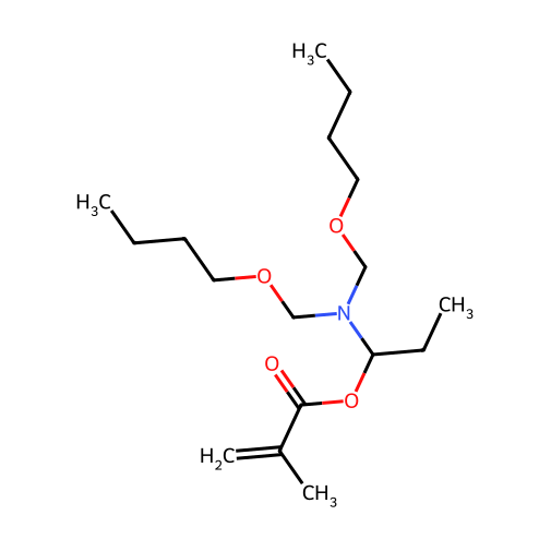 C=C(C)C(=O)OC(CC)N(COCCCC)COCCCC